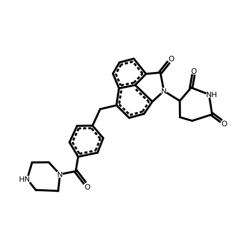 O=C1CCC(N2C(=O)c3cccc4c(Cc5ccc(C(=O)N6CCNCC6)cc5)ccc2c34)C(=O)N1